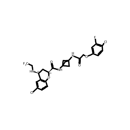 O=C(COc1ccc(Cl)c(F)c1)NC12CC(NC(=O)[C@@H]3C[C@H](NCC(F)(F)F)c4cc(Cl)ccc4O3)(C1)C2